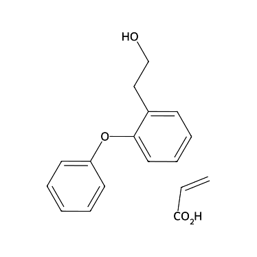 C=CC(=O)O.OCCc1ccccc1Oc1ccccc1